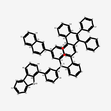 c1ccc(-c2c(-c3ccccc3)c3cc(-c4ccccc4N(c4cccc(-c5ccc6ccccc6c5)c4)c4cccc(-c5cccc6c5sc5ccccc56)c4)ccc3c3ccccc23)cc1